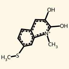 CSc1ccc2cc(O)c(O)[n+](C)c2c1